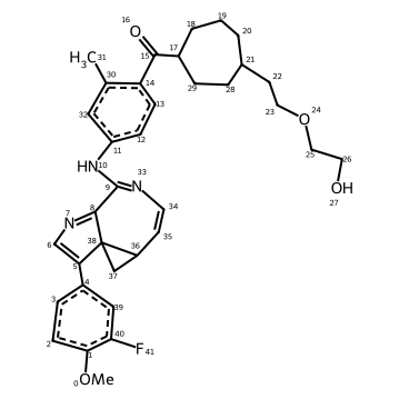 COc1ccc(C2=CN=C3C(Nc4ccc(C(=O)C5CCCC(CCOCCO)CC5)c(C)c4)=NC=CC4CC234)cc1F